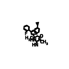 CN1C(=N)N[C@](C)(c2cc(-c3ccccc3F)cs2)[C@H](c2ccc(C3CC3)cc2)C1=O